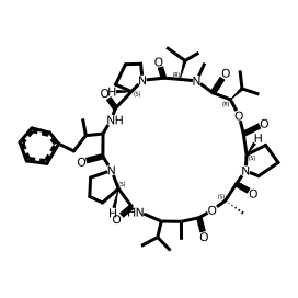 CC(C)C1NC(=O)[C@@H]2CCCN2C(=O)C(C(C)Cc2ccccc2)NC(=O)[C@@H]2CCCN2C(=O)[C@@H](C(C)C)N(C)C(=O)[C@@H](C(C)C)OC(=O)[C@@H]2CCCN2C(=O)[C@H](C)OC(=O)C1C